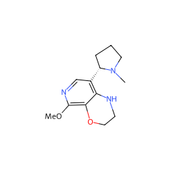 COc1ncc([C@@H]2CCCN2C)c2c1OCCN2